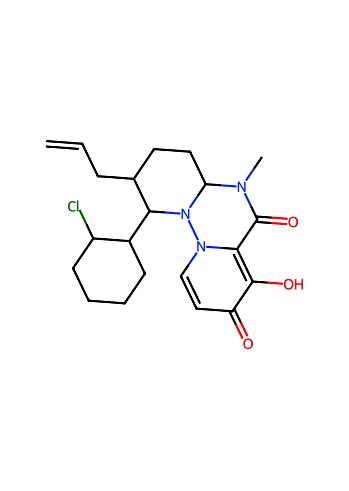 C=CCC1CCC2N(C)C(=O)c3c(O)c(=O)ccn3N2C1C1CCCCC1Cl